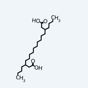 CCCCC(CCCCCCCCCCC(CCCC)CC(=O)O)CC(=O)O